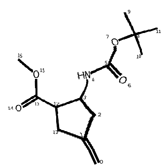 C=C1CC(NC(=O)OC(C)(C)C)C(C(=O)OC)C1